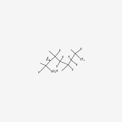 CC(F)(C(F)(F)F)C(F)(F)C(C)(F)C(F)(F)C(C)(F)C(F)(F)C(C)(F)S(=O)(=O)O